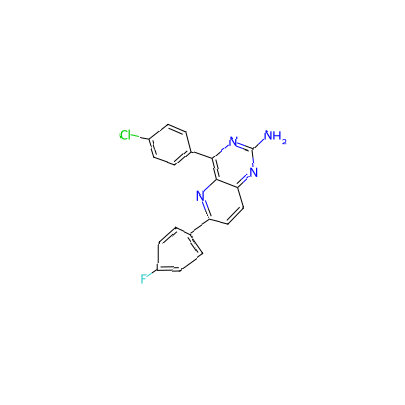 Nc1nc(-c2ccc(Cl)cc2)c2nc(-c3ccc(F)cc3)ccc2n1